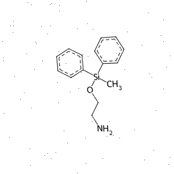 C[Si](OCCN)(c1ccccc1)c1ccccc1